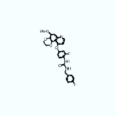 COc1cc2nccc(Oc3ccc(NC(=O)NCc4ccc(F)cc4)c(F)c3)c2c2c1OCCO2